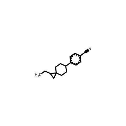 CCC1CC12CCC(c1ccc(C#N)cc1)CC2